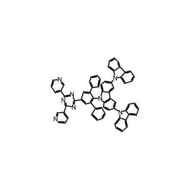 c1ccc(-c2cc(-c3nc(-c4cccnc4)nc(-c4cccnc4)n3)cc(-c3ccccc3)c2-n2c3ccc(-n4c5ccccc5c5ccccc54)cc3c3cc(-n4c5ccccc5c5ccccc54)ccc32)cc1